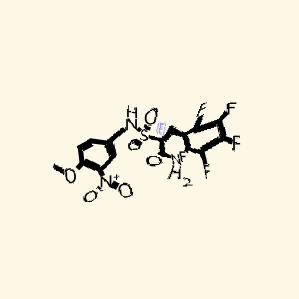 COc1ccc(NS(=O)(=O)/C(=C/c2c(F)c(F)c(F)c(F)c2F)C(N)=O)cc1[N+](=O)[O-]